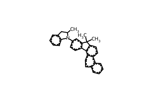 CC1Cc2ccccc2N1c1ccc2c(c1)C(C)(C)c1ccc3c(ccc4ccccc43)c1-2